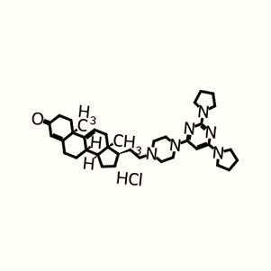 C[C@]12CCC(=O)C=C1CC[C@@H]1C2=CC[C@]2(C)[C@@H](CCN3CCN(c4cc(N5CCCC5)nc(N5CCCC5)n4)CC3)CC[C@@H]12.Cl